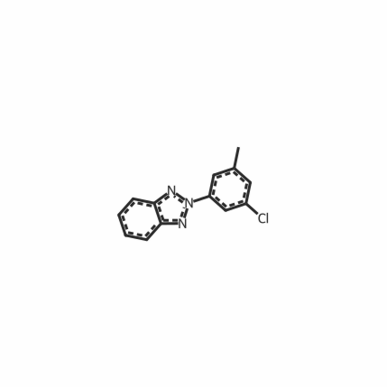 Cc1cc(Cl)cc(-n2nc3ccccc3n2)c1